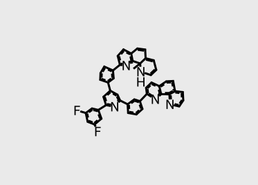 CC12NC=CC=C1C=Cc1ccc(-c3cccc(-c4cc(-c5cc(F)cc(F)c5)nc(-c5cccc(-c6ccc7ccc8cccnc8c7n6)c5)c4)c3)nc12